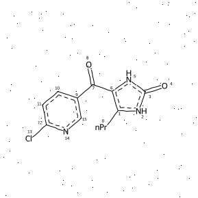 CCCc1[nH]c(=O)[nH]c1C(=O)c1ccc(Cl)nc1